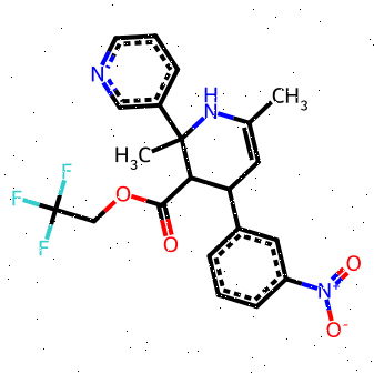 CC1=CC(c2cccc([N+](=O)[O-])c2)C(C(=O)OCC(F)(F)F)C(C)(c2cccnc2)N1